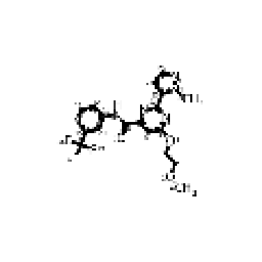 COCCOc1cc(C(=O)Nc2ccnc(C(F)(F)F)c2)nc(-c2ccnn2C)n1